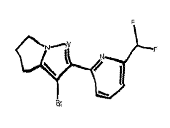 FC(F)c1cccc(-c2nn3c(c2Br)CCC3)n1